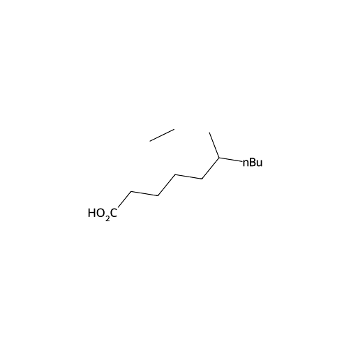 CC.CCCCC(C)CCCCC(=O)O